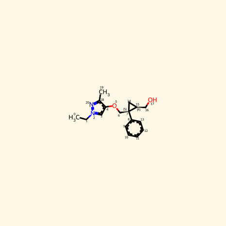 CCn1cc(OC[C@@]2(c3ccccc3)C[C@H]2CO)c(C)n1